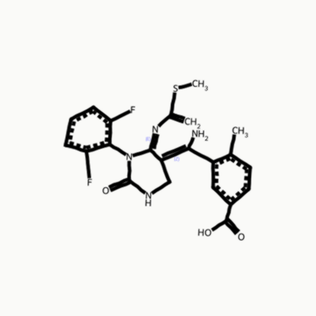 C=C(/N=C1\C(=C(/N)c2cc(C(=O)O)ccc2C)CNC(=O)N1c1c(F)cccc1F)SC